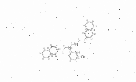 O=c1cccc(N(C=NCCc2ccc3ccccc3c2)CCc2ccc3ccccc3c2)[nH]1